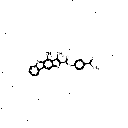 CC1=C(C(=O)Oc2ccc(C(N)=O)cc2)N=c2cc3c(c(C)c21)=Nc1ccccc1-3